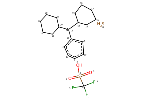 O=S(=O)(O)C(F)(F)F.S.c1cc[c]([Bi]([CH]2CCCCC2)[CH]2CCCCC2)cc1